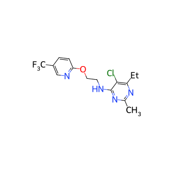 CCc1nc(C)nc(NCCOc2ccc(C(F)(F)F)cn2)c1Cl